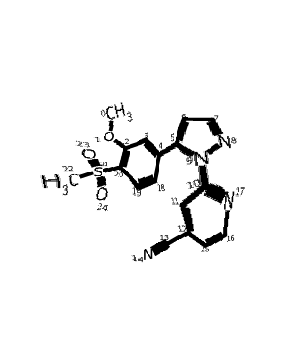 COc1cc(-c2ccnn2-c2cc(C#N)ccn2)ccc1S(C)(=O)=O